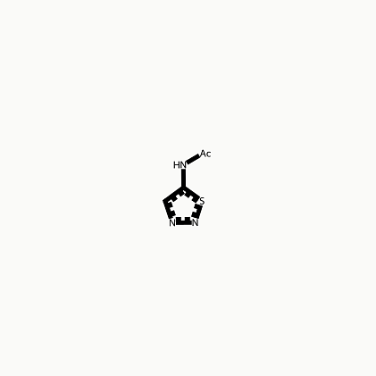 CC(=O)Nc1cnns1